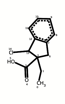 CCC1(C(=O)O)Cc2ccccc2C1Cl